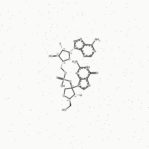 Nc1nc2c(ncn2[C@@]2(OP(O)(=S)OC[C@H]3O[C@@H](n4nnc5c(N)ncnc54)[C@@H](F)[C@@H]3O)CO[C@H](CO)[C@H]2F)c(=O)[nH]1